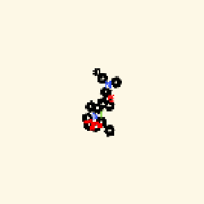 C[Si](C)(C)c1ccc(N(c2ccccc2)c2ccc3c(c2)Oc2cccc4c2c-3cc2c3ccccc3c(N(c3ccccc3-c3ccccc3)c3c(F)cc(-c5ccccc5)cc3-c3ccccc3)cc42)cc1